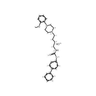 COc1ccccc1N1CCN(CCCCNC(=O)Oc2ccc(-c3ccccc3)cc2)CC1.Cl